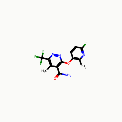 Cc1nc(F)ccc1Oc1nnc(C(F)(F)F)c(C)c1C(N)=O